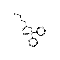 CCCC[Si](OC(=O)CCCCl)(c1ccccc1)c1ccccc1